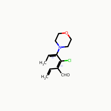 C=C/C(C=O)=C(Cl)\C(=C/C)N1CCOCC1